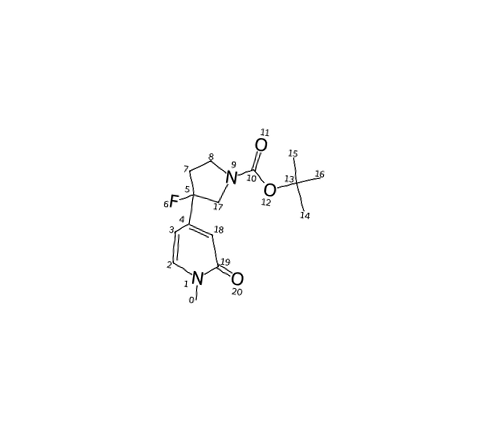 Cn1ccc(C2(F)CCN(C(=O)OC(C)(C)C)C2)cc1=O